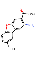 COC(=O)c1cc2oc3ccc(C=O)cc3c2cc1N